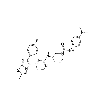 Cc1cn2c(-c3ccnc(N[C@@H]4CCCN(C(=O)Nc5ccc(N(C)C)cc5)C4)n3)c(-c3ccc(F)cc3)nc2s1